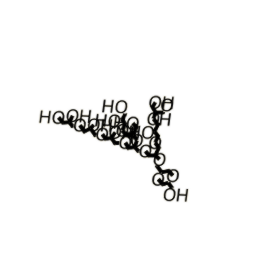 OCC(O)COCC(O)COCC(O)COCC(COCC(COCC(O)COC(CO)CO)OCC1COC(CO)CO1)OC(CO)COCC(O)CO